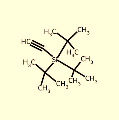 C#C[Si](C(C)(C)C)(C(C)(C)C)C(C)(C)C